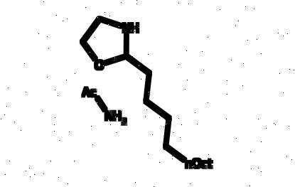 CC(N)=O.CCCCCCCCCCCCC1NCCO1